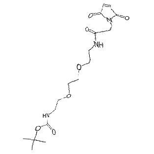 CC(C)(C)OC(=O)NCCOCCOCCNC(=O)CN1C(=O)C=CC1=O